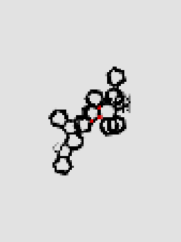 c1ccc(-c2nnc(-c3ccccc3)n2-c2cccc3c4ccccc4n(-c4ccccc4-c4ccccc4-c4ccc(-n5c6ccccc6c6c7oc8ccccc8c7ccc65)cc4)c23)cc1